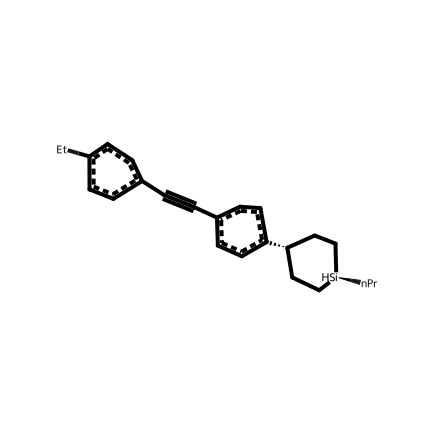 CCC[Si@H]1CC[C@H](c2ccc(C#Cc3ccc(CC)cc3)cc2)CC1